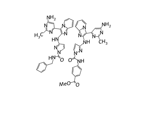 COC(=O)c1ccc(NC(=O)n2ccc(Nc3nc4ccccn4c3-c3cc(N)nc(C)n3)n2)cc1.Cc1nc(N)cc(-c2c(Nc3ccn(C(=O)NCc4ccccc4)n3)nc3ccccn23)n1